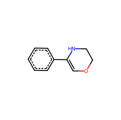 C1=C(c2ccccc2)NCCO1